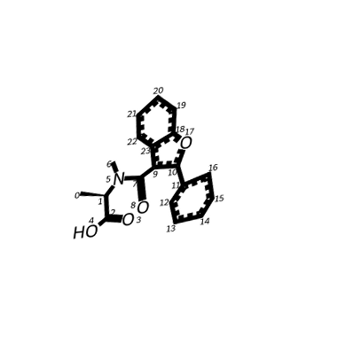 C[C@H](C(=O)O)N(C)C(=O)c1c(-c2ccccc2)oc2ccccc12